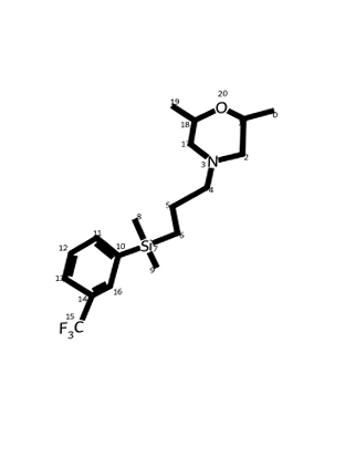 CC1CN(CCC[Si](C)(C)c2cccc(C(F)(F)F)c2)CC(C)O1